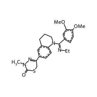 CCN=C(c1ccc(OC)c(OC)c1)N1CCCc2cc(C3=NN(C)C(=O)SC3)ccc21